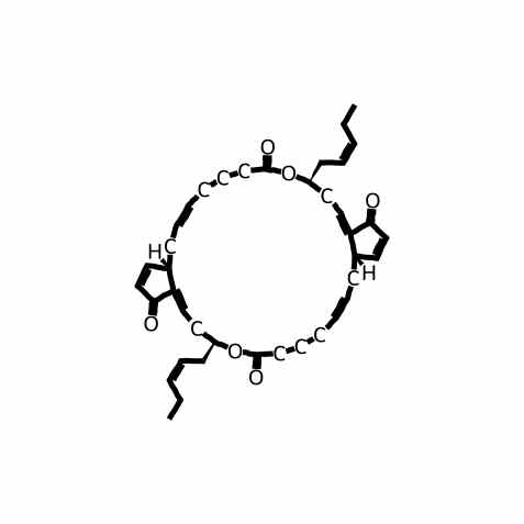 CC/C=C\C[C@H]1C/C=C2/C(=O)C=C[C@@H]2C/C=C\CCCC(=O)O[C@@H](C/C=C\CC)C/C=C2/C(=O)C=C[C@@H]2C/C=C\CCCC(=O)O1